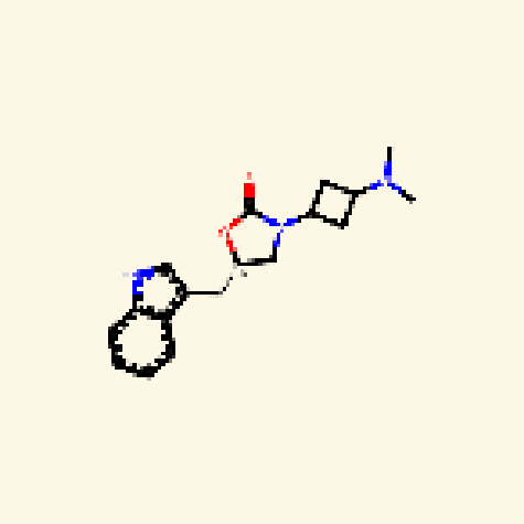 CN(C)C1CC(N2C[C@H](Cc3c[nH]c4ccccc34)OC2=O)C1